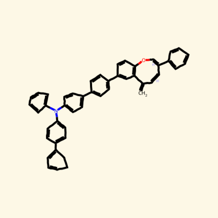 C=C1/C=C\C(c2ccccc2)=C/Oc2ccc(-c3ccc(-c4ccc(N(c5ccccc5)c5ccc(C6=CC=CCC6)cc5)cc4)cc3)cc21